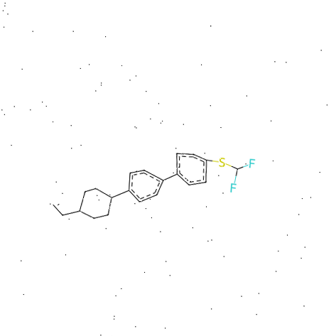 CCC1CCC(c2ccc(-c3ccc(SC(F)F)cc3)cc2)CC1